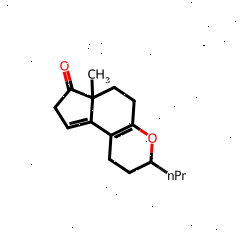 CCCC1CCC2=C(CCC3(C)C(=O)CC=C23)O1